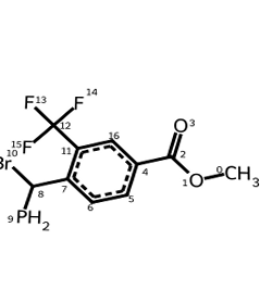 COC(=O)c1ccc(C(P)Br)c(C(F)(F)F)c1